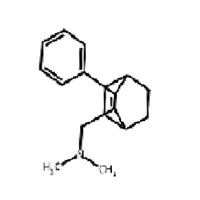 CN(C)CC1=C(c2ccccc2)C2CCC1CC2